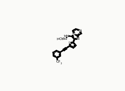 CC(C)(C)Nc1c(-c2ccc(C#Cc3cccc(C(F)(F)F)c3)s2)nc2cnccn12.Cl